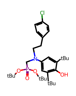 CC(C)(C)OP(=O)(CN(CCc1ccc(Cl)cc1)c1cc(C(C)(C)C)c(O)c(C(C)(C)C)c1)OC(C)(C)C